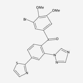 COc1cc(C(=O)c2ccc(-c3nccs3)cc2-n2cncn2)cc(Br)c1OC